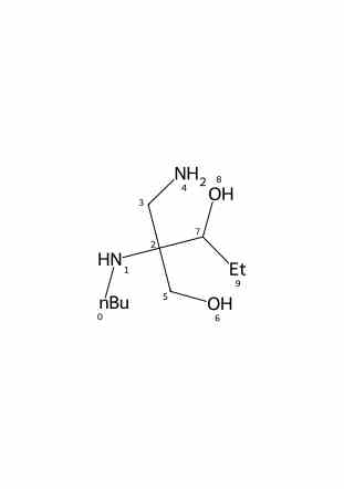 CCCCNC(CN)(CO)C(O)CC